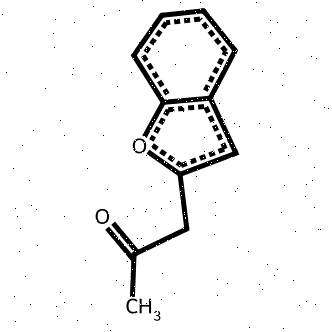 CC(=O)Cc1cc2ccccc2o1